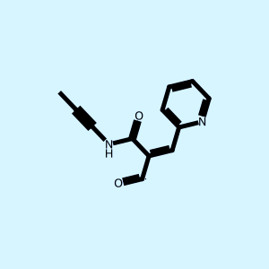 CC#CNC(=O)C([C]=O)=Cc1ccccn1